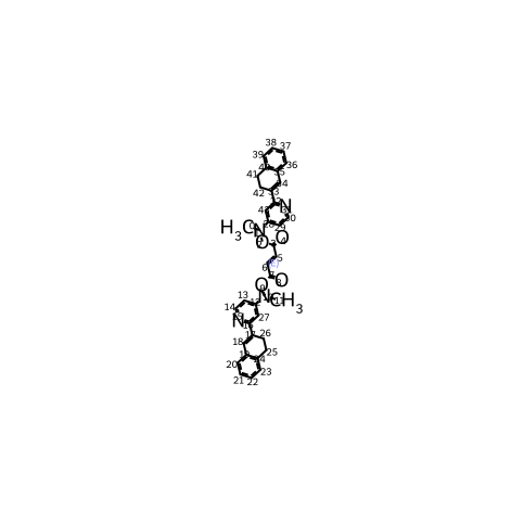 CN(OC(=O)/C=C/C(=O)ON(C)c1ccnc(C2=Cc3ccccc3CC2)c1)c1ccnc(C2=Cc3ccccc3CC2)c1